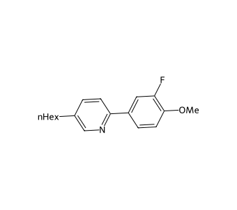 CCCCCCc1ccc(-c2ccc(OC)c(F)c2)nc1